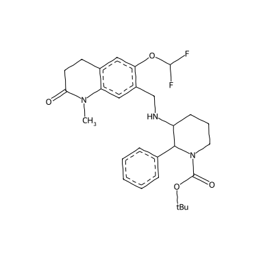 CN1C(=O)CCc2cc(OC(F)F)c(CNC3CCCN(C(=O)OC(C)(C)C)C3c3ccccc3)cc21